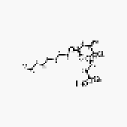 C=C(CC(=O)OCCCCCCCC)C(=O)OCCC(=O)O